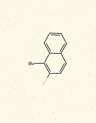 CCC(C)c1c(F)ccc2ccccc12